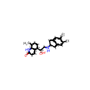 CCc1cc2c(cc1CC)CC(NC[C@H](O)c1ccc(C)c3[nH]c(=O)ccc13)C2